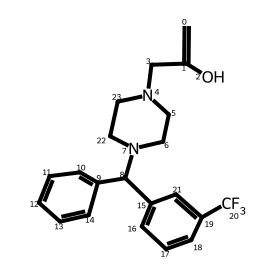 C=C(O)CN1CCN(C(c2ccccc2)c2cccc(C(F)(F)F)c2)CC1